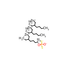 CCCCC(CC)[CH2][Zn+].CCCCC(CC)[CH2][Zn+].CCCCC(CC)[CH2][Zn+].[O-]P([O-])(=S)[S-]